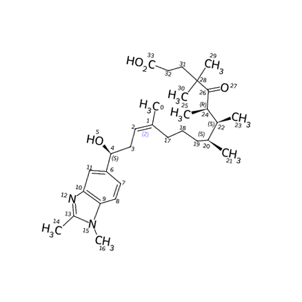 C/C(=C/C[C@H](O)c1ccc2c(c1)nc(C)n2C)CCC[C@H](C)[C@H](C)[C@@H](C)C(=O)C(C)(C)CCC(=O)O